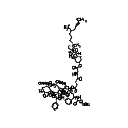 CC#CCC(C)CCCC[C@H]1CC[C@H]2[C@@H]3CC=C4C[C@@H](OC(=O)CNC(=O)CCC(=O)O[C@@H](C(=O)O[C@H]5C[C@@]6(O)[C@@H](OC(=O)c7ccccc7)[C@@H]7[C@]8(OC(C)=O)CO[C@@H]8C[C@H](OC)[C@@]7(C)C(=O)[C@H](OC)C(=C5C)C6(C)C)[C@@H](NC(=O)OC(C)(C)C)c5ccccc5)CC[C@]4(C)[C@H]3CC[C@]12C